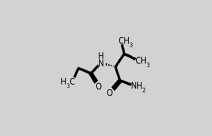 CCC(=O)N[C@@H](C(N)=O)C(C)C